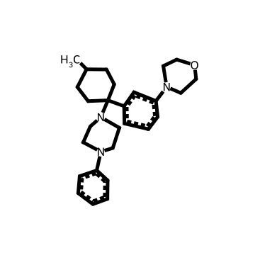 CC1CCC(c2cccc(N3CCOCC3)c2)(N2CCN(c3ccccc3)CC2)CC1